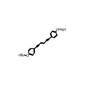 CCCCCCCc1ccc(C#C/C=C/C#Cc2ccc(OCCCC)cc2)cc1